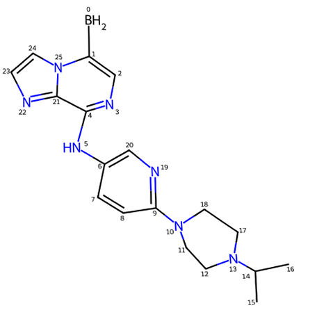 Bc1cnc(Nc2ccc(N3CCN(C(C)C)CC3)nc2)c2nccn12